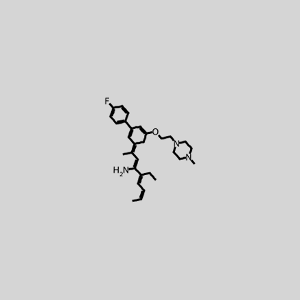 C\C=C/C=C(CC)/C(N)=C/C(C)=C1/C=C(c2ccc(F)cc2)C=C(OCCN2CCN(C)CC2)C1